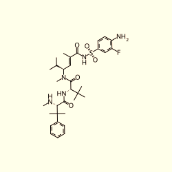 CN[C@H](C(=O)N[C@H](C(=O)N(C)[C@H](C=C(C)C(=O)NS(=O)(=O)c1ccc(N)c(F)c1)C(C)C)C(C)(C)C)C(C)(C)c1ccccc1